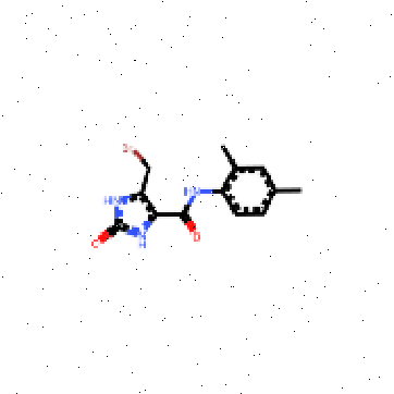 Cc1ccc(NC(=O)c2[nH]c(=O)[nH]c2CBr)c(C)c1